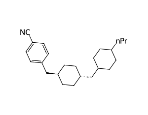 CCCC1CCC(C[C@H]2CC[C@H](Cc3ccc(C#N)cc3)CC2)CC1